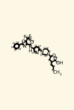 CCC=CC(CC(=O)N1CCCN(c2ccc(NC(=O)c3nc(-c4ccccc4)oc3C(F)(F)F)cn2)CC1)C(=O)O